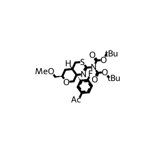 COC[C@H]1C[C@H]2CSC(N(C(=O)OC(C)(C)C)C(=O)OC(C)(C)C)=N[C@@]2(c2cc(C(C)=O)ccc2F)CO1